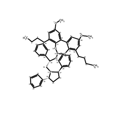 CCCCc1cc(OC)cc2c1op(O[C@H](CP1[C@@H](c3ccccc3)CC[C@@H]1c1ccccc1)c1ccccc1)oc1c(CCCC)cc(OC)cc12